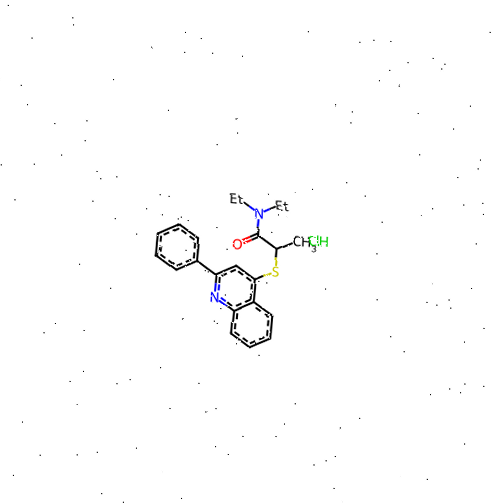 CCN(CC)C(=O)C(C)Sc1cc(-c2ccccc2)nc2ccccc12.Cl